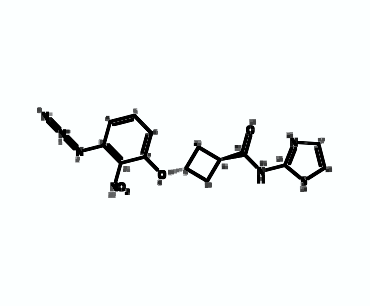 [N-]=[N+]=Nc1cccc(O[C@H]2C[C@H](C(=O)Nc3nccs3)C2)c1[N+](=O)[O-]